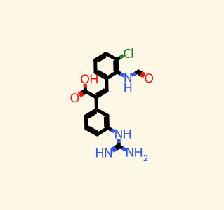 N=C(N)Nc1cccc(C(=Cc2cccc(Cl)c2NC=O)C(=O)O)c1